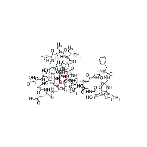 CC[C@H](C)[C@H](NC(=O)CNC(=O)[C@H](Cc1ccccc1)NC(=O)CNC(=O)CNC(=O)[C@H](CO)NC(=O)[C@H](CO)NC(=O)[C@@H](NC(=O)[C@@H]1CCCN1C(=O)[C@@H](NC(=O)CNC(=O)[C@H](CCC(=O)O)NC(=O)[C@H](CCC(=O)O)NC(=O)[C@H](CO)NC(=O)[C@H](CC(C)C)NC(=O)[C@@H](NC(=O)[C@H](CO)NC(=O)CNC(=O)[C@@H](NC(=O)[C@H](C)NC(=O)[C@H](C)N)C(C)C)[C@@H](C)CC)C(C)C)[C@@H](C)CC)C(=O)N[C@@H](CO)C(=O)NCC(=O)O